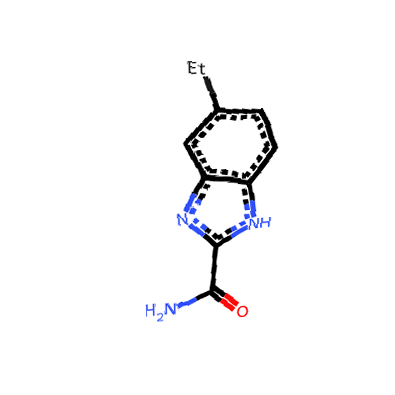 CCc1ccc2[nH]c(C(N)=O)nc2c1